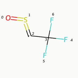 O=S=[C]C(F)(F)F